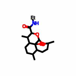 CCNC(=O)C1OC2OC3(C)CCC4C(C)CCC(C1C)C24OO3